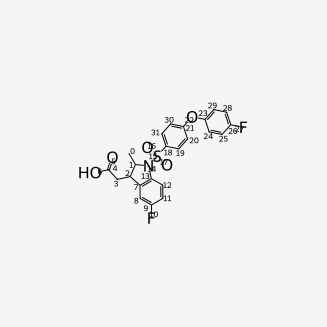 CC1C(CC(=O)O)c2cc(F)ccc2N1S(=O)(=O)c1ccc(Oc2ccc(F)cc2)cc1